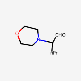 CCCC(C=O)N1CCOCC1